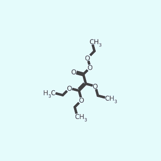 CCOOC(=O)C(OCC)=C(OCC)OCC